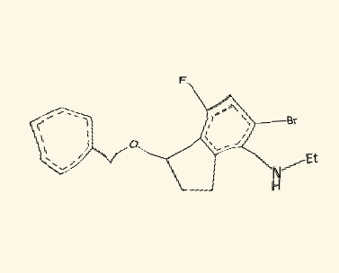 CCNc1c(Br)cc(F)c2c1CCC2OCc1ccccc1